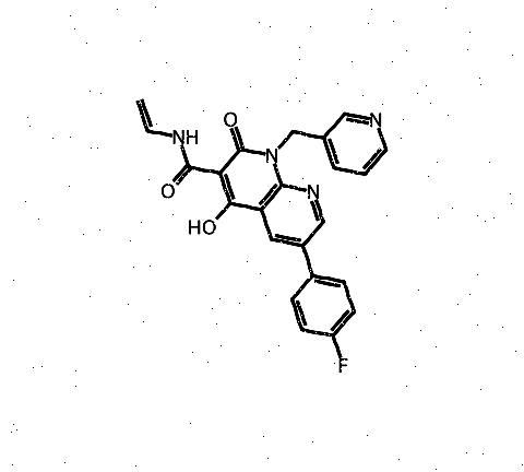 C=CNC(=O)c1c(O)c2cc(-c3ccc(F)cc3)cnc2n(Cc2cccnc2)c1=O